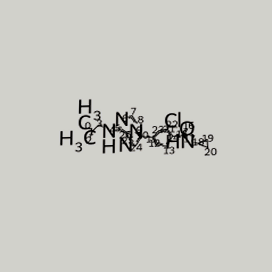 CC(C)CNc1nccn2c(-c3ccc(C(=O)NC4CC4)c(Cl)c3)cnc12